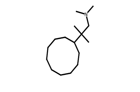 CN(C)CC(C)(C)C1CCCCCCCCC1